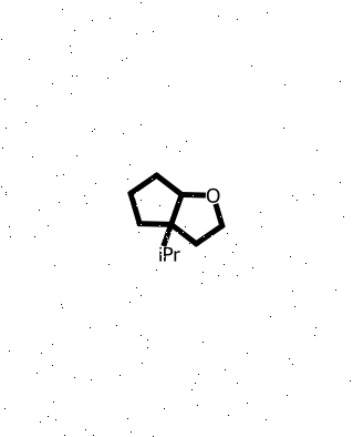 CC(C)C12CCCC1OCC2